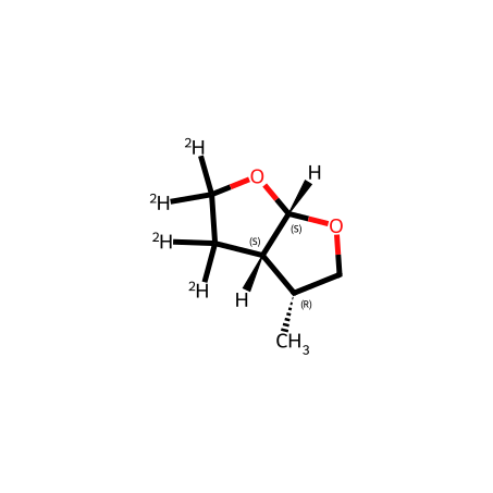 [2H]C1([2H])O[C@@H]2OC[C@H](C)[C@@H]2C1([2H])[2H]